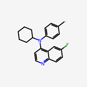 [CH2]c1ccc(N(c2ccnc3ccc(F)cc23)C2CCCCC2)cc1